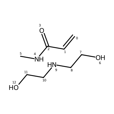 C=CC(=O)NC.OCCNCCO